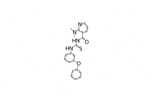 CN(C)c1ncccc1C(=O)NC(=S)Nc1cccc(Oc2ccccc2)c1